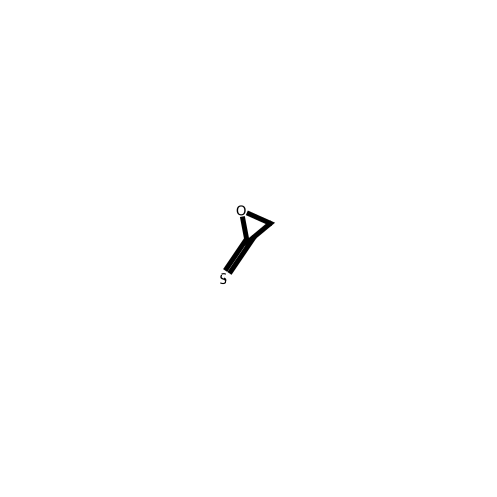 S=C1CO1